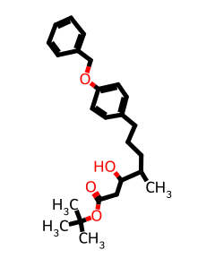 CC(CCCc1ccc(OCc2ccccc2)cc1)C(O)CC(=O)OC(C)(C)C